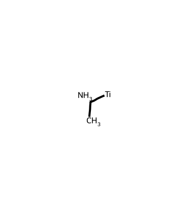 C[CH2][Ti].N